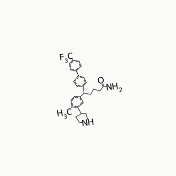 Cc1ccc(C(CCCC(N)=O)c2ccc(-c3ccc(C(F)(F)F)cc3)cc2)cc1C1CCNCC1